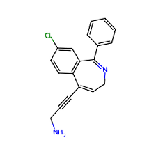 NCC#CC1=CCN=C(c2ccccc2)c2cc(Cl)ccc21